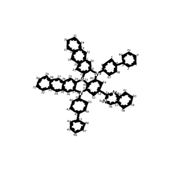 c1ccc(-c2ccc(N3c4cc5cc6ccccc6cc5cc4B4c5cc6cc7ccccc7cc6cc5N(c5ccc(-c6ccccc6)cc5)c5cc(-c6ncc7ccccc7n6)cc3c54)cc2)cc1